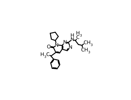 CC(C)CC(C)Nc1ncc2cc(C(C)c3ccccc3)c(=O)n(C3CCCC3)c2n1